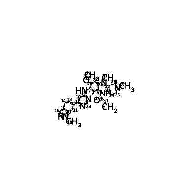 C=CC(=O)Nc1cc(Nc2cc(-c3ccc4cnn(C)c4c3)ncn2)c(OC)cc1N(C)C1CCCN(C)C1